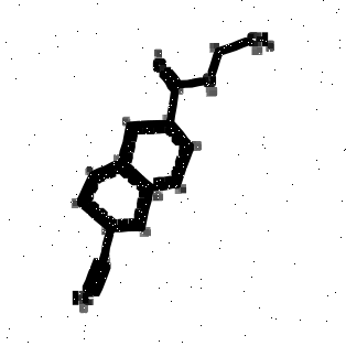 C#Cc1ccc2cc(C(=O)OCC)ccc2c1